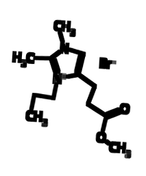 CCC[n+]1c(CCC(=O)OC)cn(C)c1C.[Br-]